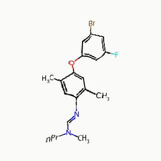 CCCN(C)C=Nc1cc(C)c(Oc2cc(F)cc(Br)c2)cc1C